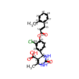 CC1=C(C(=O)O)C(c2ccc(OC(=O)C=Cc3ccccc3C)c(Cl)c2)NC(=O)N1